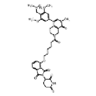 COc1cc(-c2cn(C)c(=O)c3c2CCN(C(=O)CCCCCOc2cccc4c2C(=O)N(C2CCC(=O)NC2=O)C4=O)C3)cc(OC)c1CN(C)C